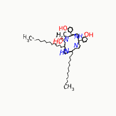 CCCCCCCCCCCCCc1c2nc(c(-c3cccc(O)c3)c3ccc([nH]3)c(-c3cccc(O)c3)c3nc(c(CCCCCCCCCCCCC)c4ccc1[nH]4)C(O)C3C)C=C2